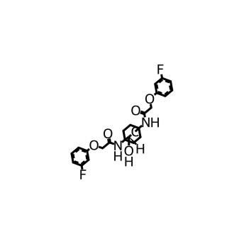 O=C(COc1cccc(F)c1)NC12CCC(NC(=O)COc3cccc(F)c3)(CC1)[C@@H](O)C2